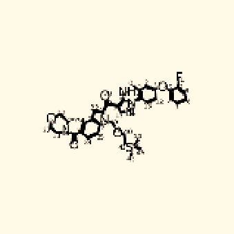 Cc1cc(Oc2ccccc2F)ccc1-n1ncc(C(=O)c2cc3cc(C(=O)N4CCOCC4)ccc3n2COCC[Si](C)(C)C)c1N